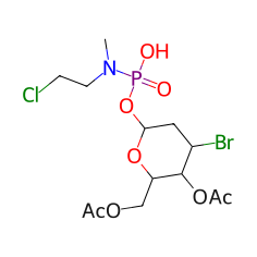 CC(=O)OCC1OC(OP(=O)(O)N(C)CCCl)CC(Br)C1OC(C)=O